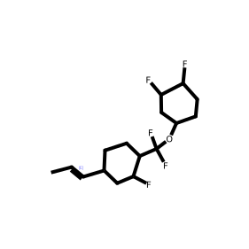 C/C=C/C1CCC(C(F)(F)OC2CCC(F)C(F)C2)C(F)C1